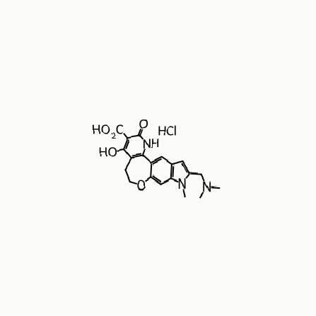 CN(C)Cc1cc2cc3c(cc2n1C)OCCc1c-3[nH]c(=O)c(C(=O)O)c1O.Cl